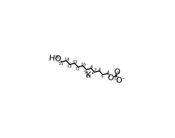 O=C([O-])OCCCCCCCCCCCCO.[K+]